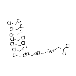 ClCCl.ClCCl.ClCCl.ClCCl.ClCCl.ClCCl.ClCCl.ClCCl.ClCCl.N#CCC(Cl)Cl